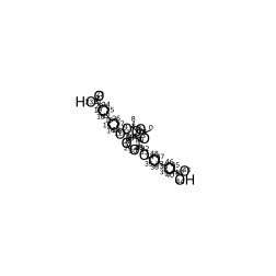 CC(=O)O[C@H]1[C@H](OC(C)=O)[C@@H](COc2ccc(-c3ccc(C(=O)O)cc3)cc2)OCO[C@@H]1COc1ccc(-c2ccc(C(=O)O)cc2)cc1